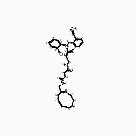 C#Cc1ccccc1CN(C(=O)CCNC(=O)CCC(=O)NCC1CCCCCCCC1)c1ccccc1C